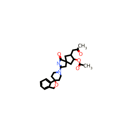 CC(=O)CC1CC2(CC(N3CCC4(CC3)OCc3ccccc34)=NC2=O)CC1OC(C)=O